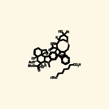 CCCCCCCCCCCCCCCC(=O)O.CC[C@]1(O)C[C@@H]2C[N@@](CCc3c([nH]c4ccccc34)[C@@](C(=O)OC)(c3cc4c(cc3OC)N(C)[C@H]3[C@@](O)(C(=O)OC)[C@H](OC(C)=O)[C@]5(CC)C=CCN6CC[C@]43[C@@H]65)C2)C1